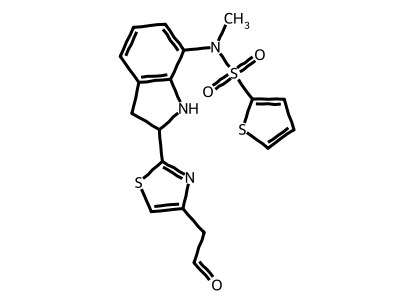 CN(c1cccc2c1NC(c1nc(CC=O)cs1)C2)S(=O)(=O)c1cccs1